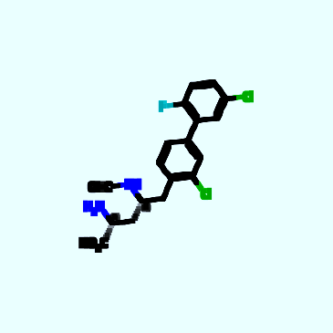 N[C@H](C[C@@H](Cc1ccc(-c2cc(Cl)ccc2F)cc1Cl)NC=O)C(=O)O